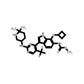 COC(=O)Nc1ccc2c(-c3nc(NC4CCC(C)(C)NC4)ncc3C(F)(F)F)c[nH]c2c1OC1CCC1